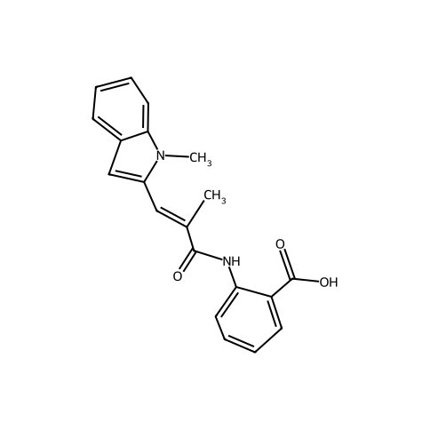 CC(=Cc1cc2ccccc2n1C)C(=O)Nc1ccccc1C(=O)O